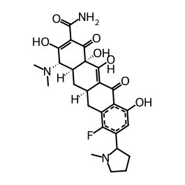 CN1CCCC1c1cc(O)c2c(c1F)C[C@H]1C[C@H]3[C@H](N(C)C)C(O)=C(C(N)=O)C(=O)[C@@]3(O)C(O)=C1C2=O